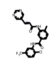 Cc1ccc(C(=O)Nc2cc(C(F)(F)F)ccc2Cl)cc1NC(=O)/C=C/c1cncnc1